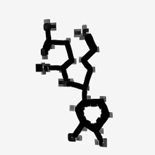 C=CCCC(NC(C)CCC(=O)O)c1ccc(Cl)c(Cl)c1